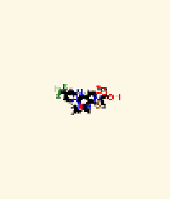 CC(C)(C)Nc1c(-c2cc(=O)n3c(c2C2CC2)SCC3C(=O)O)nc2cc(C(F)(F)F)ccn12